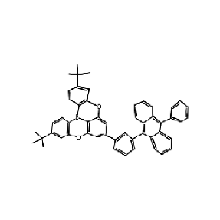 CC(C)(C)c1ccc2c(c1)Oc1cc(-c3cccc(-c4c5ccccc5c(-c5ccccc5)c5ccccc45)c3)cc3c1B2c1ccc(C(C)(C)C)cc1O3